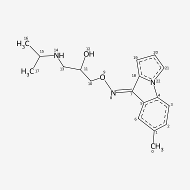 Cc1ccc2c(c1)C(=NOCC(O)CNC(C)C)c1cccn1-2